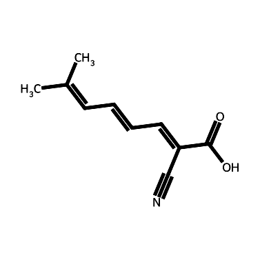 CC(C)=C/C=C/C=C(\C#N)C(=O)O